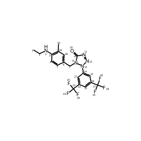 CCNc1ccc(Cn2c(=O)nnn2-c2cc(C(F)(F)F)cc(C(F)(F)F)c2)cc1C